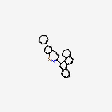 C1=CC=CCC=C1.C1=Cc2ccccc2SN=C1C1C=c2ccccc2=c2ccc3c(c21)CCCC=3